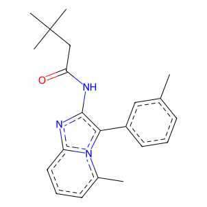 Cc1cccc(-c2c(NC(=O)CC(C)(C)C)nc3cccc(C)n23)c1